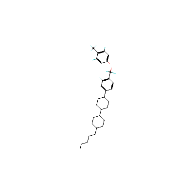 CCCCCC1CCC(C2CCC(c3ccc(C(F)(F)Oc4cc(F)c(C(F)(F)F)c(F)c4)c(F)c3)CC2)CC1